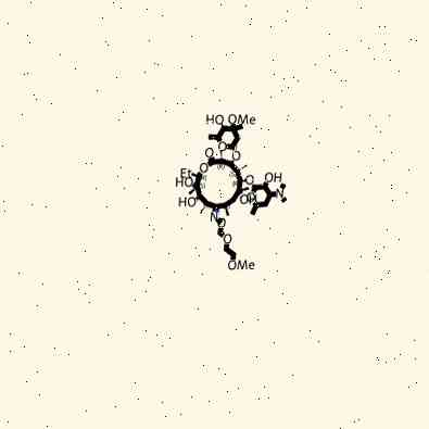 CC[C@H]1OC(=O)[C@H](C)[C@@H](O[C@H]2CC(C)(OC)[C@@H](O)C(C)O2)[C@H](C)[C@@H](O[C@@H]2OC(C)CC(N(C)C)C2O)[C@](C)(O)C[C@@H](C)/C(=N\OCOCCOC)[C@H](C)[C@@H](O)[C@]1(C)O